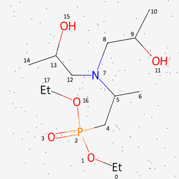 CCOP(=O)(CC(C)N(CC(C)O)CC(C)O)OCC